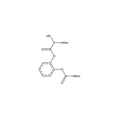 CCCCCCCCCC(=O)Oc1ccccc1OC(=O)C(CCC)CCCCCC